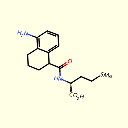 CSCC[C@H](NC(=O)C1CCCc2c(N)cccc21)C(=O)O